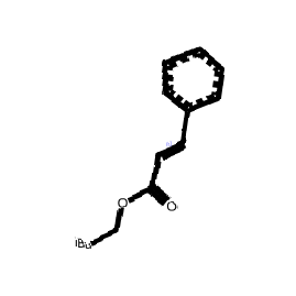 CCC(C)COC(=O)/C=C/c1ccccc1